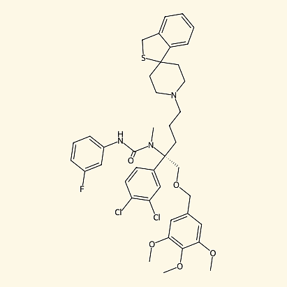 COc1cc(COC[C@](CCCN2CCC3(CC2)SCc2ccccc23)(c2ccc(Cl)c(Cl)c2)N(C)C(=O)Nc2cccc(F)c2)cc(OC)c1OC